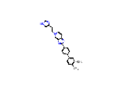 Cc1ccc(-c2ccc(-c3nc4ccn(CCc5c[nH]cn5)cc-4n3)cc2)cc1C